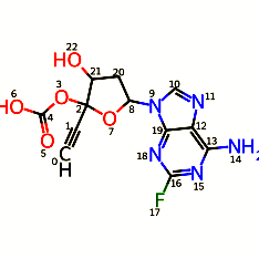 C#CC1(OC(=O)O)OC(n2cnc3c(N)nc(F)nc32)CC1O